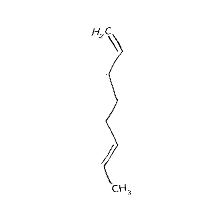 C=C[CH]CC/C=C/C